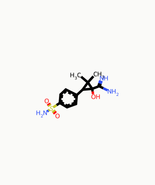 CC1(C)C(c2ccc(S(N)(=O)=O)cc2)C1(O)C(=N)N